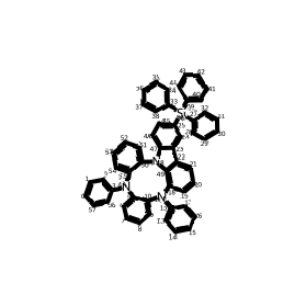 c1ccc(N2c3ccccc3N(c3ccccc3)c3cccc4c5cc([Si](c6ccccc6)(c6ccccc6)c6ccccc6)ccc5n(c34)-c3ccccc32)cc1